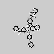 c1ccc(-c2ccc(N(c3ccc4c(c3)sc3ccccc34)c3cc4ccccc4c4c3oc3ccc(-c5nc6ccccc6o5)cc34)cc2)cc1